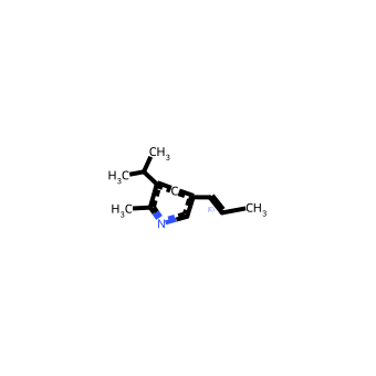 C/C=C/c1cnc(C)c(C(C)C)c1